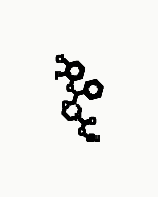 CC(C)(C)OC(=O)N1CCO[C@H]([C@@H](Oc2cccc(Cl)c2F)c2ccccc2)C1